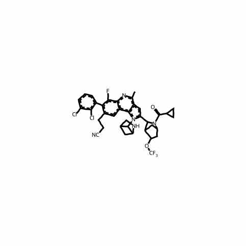 Cc1nc2c(F)c(-c3cccc(Cl)c3Cl)c(CCC#N)cc2c2c1cc(C1C3CC(CC3OC(F)(F)F)N1C(=O)C1CC1)n2C1C2CNC1C2